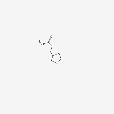 O=C(CCC1CCCC1)OI